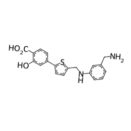 NCc1cccc(NCc2ccc(-c3ccc(C(=O)O)c(O)c3)s2)c1